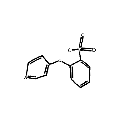 O=S(=O)(Cl)c1ccccc1Oc1ccncc1